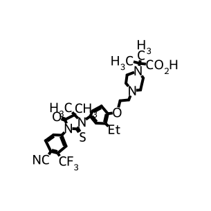 CCc1cc(N2C(=S)N(c3ccc(C#N)c(C(F)(F)F)c3)C(=O)C2(C)C)ccc1OCCN1CCN(C(C)(C)C(=O)O)CC1